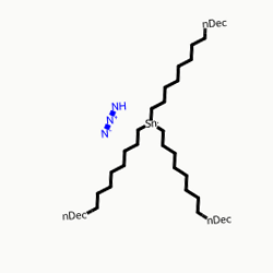 CCCCCCCCCCCCCCCCC[CH2][Sn]([CH2]CCCCCCCCCCCCCCCCC)[CH2]CCCCCCCCCCCCCCCCC.[N-]=[N+]=N